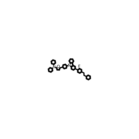 Fc1cc(CCc2ccccc2)ccc1-c1ccc2c(c1)c1ccccc1n2-c1ccc(-c2ccc(N(c3ccccc3)c3ccccc3)o2)cc1